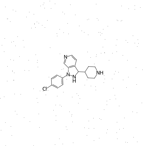 Clc1ccc(N2NC(C3CCNCC3)c3ccncc32)cc1